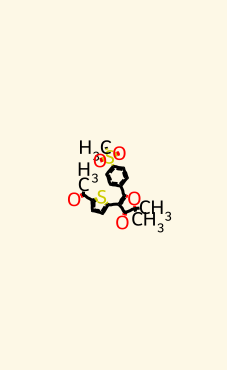 CC(=O)c1ccc(C2=C(c3ccc(S(C)(=O)=O)cc3)OC(C)(C)C2=O)s1